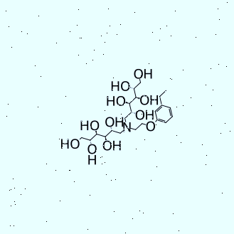 CCc1cccc(OCCN(C[C@@H](O)[C@@H](O)[C@H](O)[C@H](O)CO)C[C@@H](O)[C@@H](O)[C@H](O)[C@H](O)CO)c1